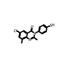 Cc1cc(Cl)cc2c(=O)n(-c3ccc(S)cc3)c(C)nc12